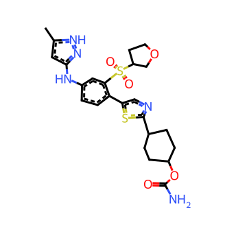 Cc1cc(Nc2ccc(-c3cnc(C4CCC(OC(N)=O)CC4)s3)c(S(=O)(=O)C3CCOC3)c2)n[nH]1